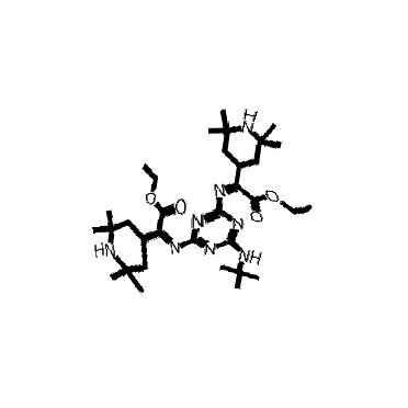 CCOC(=O)C(=Nc1nc(N=C(C(=O)OCC)C2CC(C)(C)NC(C)(C)C2)nc(NC(C)(C)C)n1)C1CC(C)(C)NC(C)(C)C1